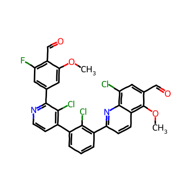 COc1cc(-c2nccc(-c3cccc(-c4ccc5c(OC)c(C=O)cc(Cl)c5n4)c3Cl)c2Cl)cc(F)c1C=O